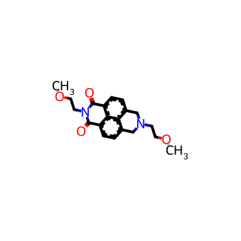 COCCN1Cc2ccc3c4c(ccc(c24)C1)C(=O)N(CCOC)C3=O